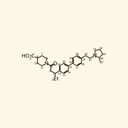 CCC(CC(=O)N1CCC(C(=O)O)CC1)c1ccc(-c2ccc(CCN3CCCC3C)cc2)cc1